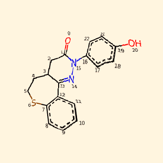 O=C1CC2CCSc3ccccc3C2=NN1c1ccc(O)cc1